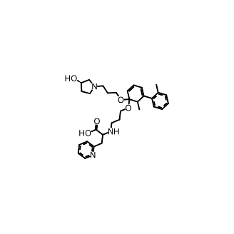 Cc1ccccc1C1=CC=CC(OCCCNC(Cc2ccccn2)C(=O)O)(OCCCN2CC[C@@H](O)C2)C1C